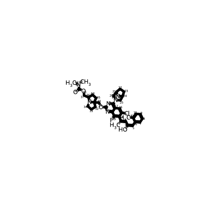 C/C(=C\C(O)=C/c1ccccc1C)c1c(Cl)cc2c(N3CC4CCC(C3)N4)nc(OCC34CCCN3C(COC(=O)N(C)C)CC4)nc2c1F